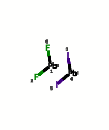 [F][Pb][F].[I][Pb][I]